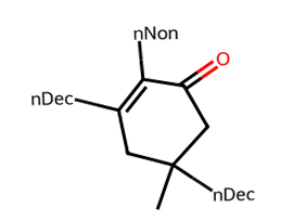 CCCCCCCCCCC1=C(CCCCCCCCC)C(=O)CC(C)(CCCCCCCCCC)C1